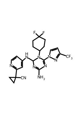 N#CC1(c2cc(NC3N=C(N)N=C(n4ccc(C(F)(F)F)n4)N3C3CCC(F)(F)CC3)ccn2)CC1